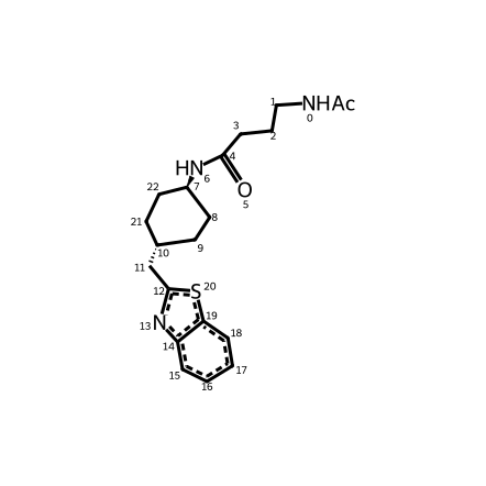 CC(=O)NCCCC(=O)N[C@H]1CC[C@H](Cc2nc3ccccc3s2)CC1